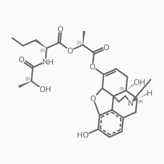 CCC[C@H](NC(=O)[C@H](C)O)C(=O)O[C@@H](C)C(=O)OC1=CC[C@@]2(O)[C@H]3Cc4ccc(O)c5c4C2(CCN3C)C1O5